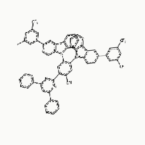 Cc1cc(-c2ccc3c(c2)c2ccccc2n3-c2cc(-c3nc(-c4ccccc4)cc(-c4ccccc4)n3)c(C#N)cc2-n2c3ccccc3c3cc(-c4cc(C(F)(F)F)cc(C(F)(F)F)c4)ccc32)cc(C(F)(F)F)c1